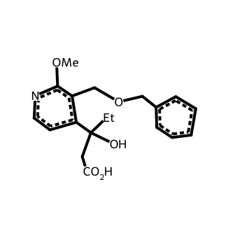 CCC(O)(CC(=O)O)c1ccnc(OC)c1COCc1ccccc1